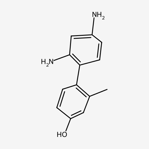 Cc1cc(O)ccc1-c1ccc(N)cc1N